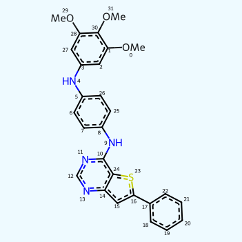 COc1cc(Nc2ccc(Nc3ncnc4cc(-c5ccccc5)sc34)cc2)cc(OC)c1OC